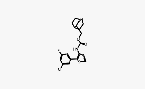 O=C(Nc1ncsc1-c1cc(F)cc(Cl)c1)OCC1CN2CCC1CC2